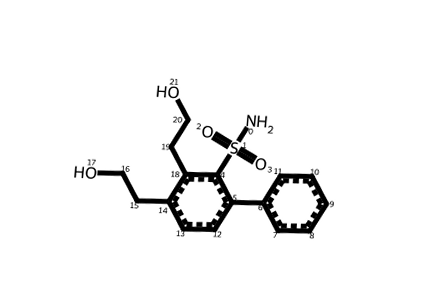 NS(=O)(=O)c1c(-c2ccccc2)ccc(CCO)c1CCO